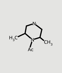 CC(=O)N1C(C)C[N]CC1C